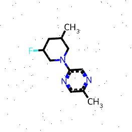 Cc1cnc(N2CC(C)CC(F)C2)cn1